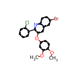 COc1ccc(Oc2cc3cc(Br)ccc3nc2-c2ccccc2Cl)cc1OC